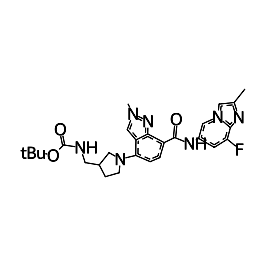 Cc1cn2cc(NC(=O)c3ccc(N4CCC(CNC(=O)OC(C)(C)C)C4)c4cn(C)nc34)cc(F)c2n1